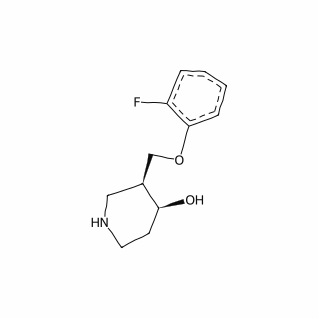 O[C@H]1CCNC[C@H]1COc1ccccc1F